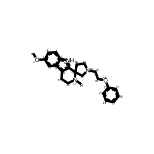 COc1ccc2[nH]c3c(c2c1)CCN(C)C31CCN(CCOc2ccccc2)C1